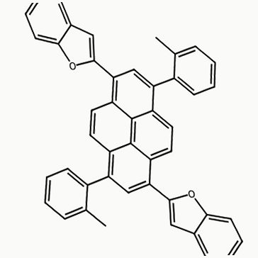 Cc1ccccc1-c1cc(-c2cc3ccccc3o2)c2ccc3c(-c4ccccc4C)cc(-c4cc5ccccc5o4)c4ccc1c2c43